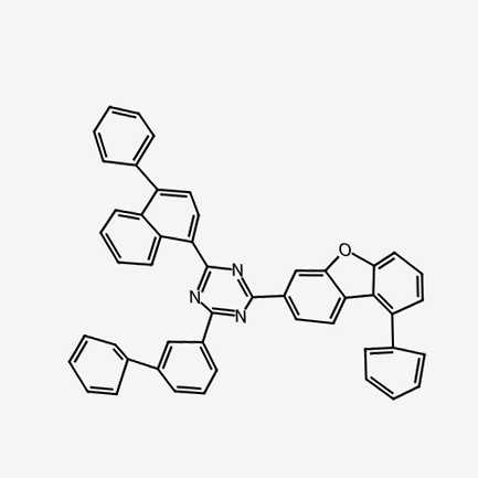 c1ccc(-c2cccc(-c3nc(-c4ccc5c(c4)oc4cccc(-c6ccccc6)c45)nc(-c4ccc(-c5ccccc5)c5ccccc45)n3)c2)cc1